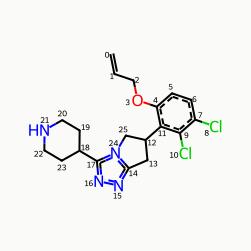 C=CCOc1ccc(Cl)c(Cl)c1C1Cc2nnc(C3CCNCC3)n2C1